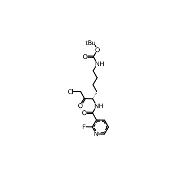 CC(C)(C)OC(=O)NCCCC[C@H](NC(=O)c1cccnc1F)C(=O)CCl